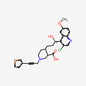 COc1ccc2ncc(Cl)c([C@H](O)CCC3CCN(CC#Cc4ccsc4)CC3C(=O)O)c2c1